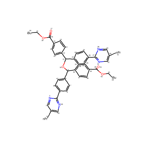 CCCc1cnc(-c2ccc(C(OC(c3ccc(C(=O)OCC(C)CC)cc3)c3ccc(-c4ncc(CCC)cn4)cc3)c3ccc(C(=O)OCC(C)CC)cc3)cc2)nc1